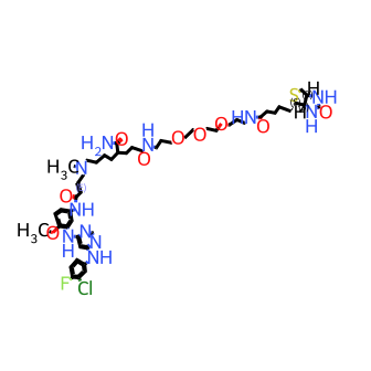 COc1ccc(NC(=O)/C=C/CN(C)CCCCC(CCC(=O)NCCCOCCOCCOCCCNC(=O)CCCC[C@@H]2SC[C@@H]3NC(=O)N[C@@H]32)C(N)=O)cc1Nc1cc(Nc2ccc(F)c(Cl)c2)ncn1